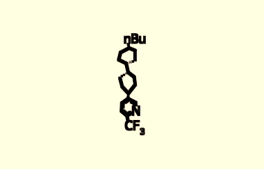 CCCC[C@H]1CC[C@H]([C@H]2CC[C@H](c3ccc(C(F)(F)F)nc3)CC2)CC1